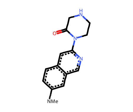 CNc1ccc2cc(N3CCNCC3=O)ncc2c1